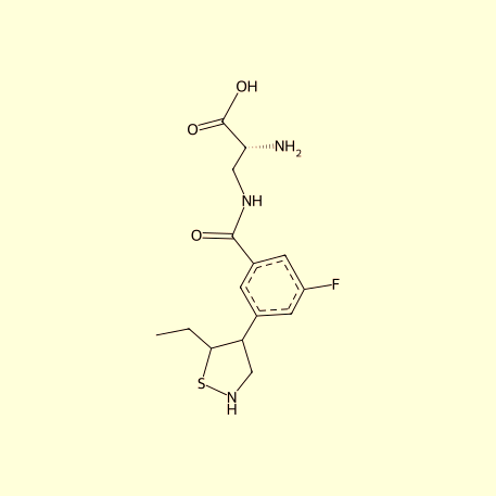 CCC1SNCC1c1cc(F)cc(C(=O)NC[C@@H](N)C(=O)O)c1